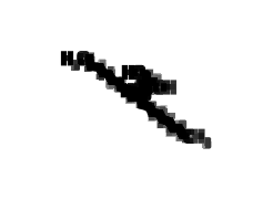 CCCCCCCCCCCCCCCCCCCCCC.OCC(CO)(CO)CO